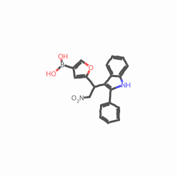 O=[N+]([O-])CC(c1cc(B(O)O)co1)c1c(-c2ccccc2)[nH]c2ccccc12